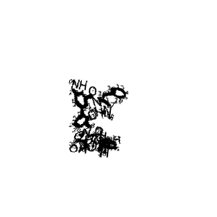 CNCc1cc(C(=O)N[C@@H](Cc2ccccc2)CN(C)C)cc(-c2cccc(CN3O[C@@H](CO)[C@@H]([C@H](C)O)C3C(=O)N[C@H]3C[C@H]4C[C@@H]([C@@H]3C)C4(C)C)c2OC)c1